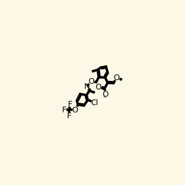 CO/C=C(/C(=O)OC)c1cccc(C)c1CO/N=C(\C)c1ccc(OC(F)(F)F)cc1Cl